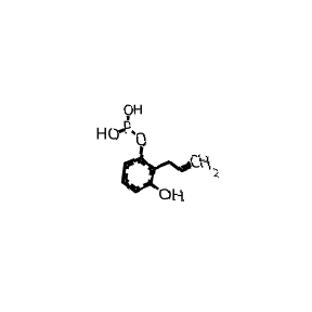 C=CCc1c(O)cccc1OP(O)O